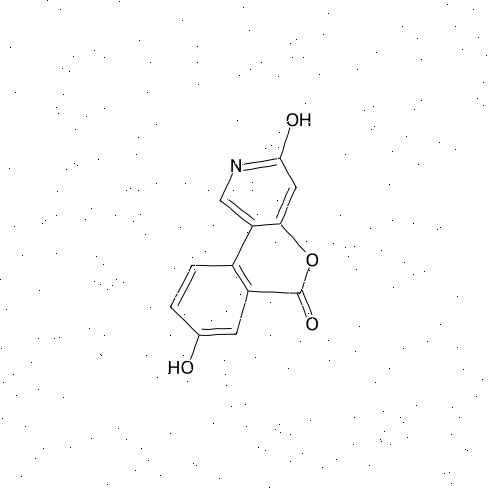 O=c1oc2cc(O)ncc2c2ccc(O)cc12